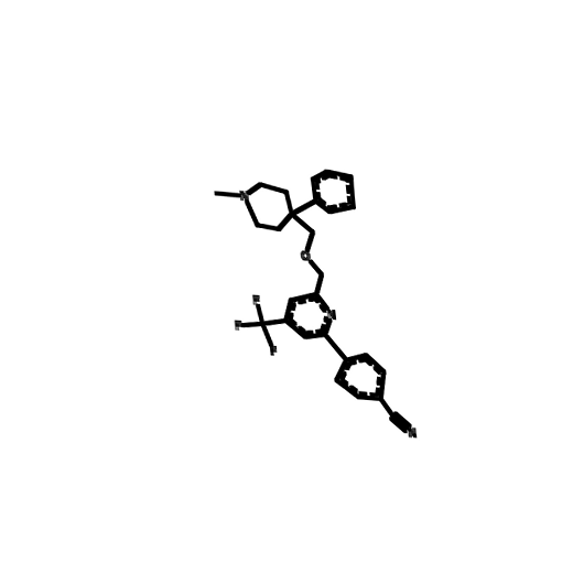 CN1CCC(COCc2cc(C(F)(F)F)cc(-c3ccc(C#N)cc3)n2)(c2ccccc2)CC1